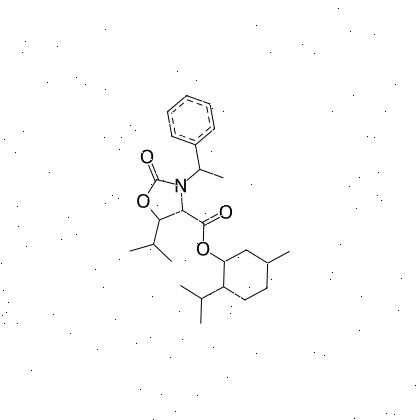 CC1CCC(C(C)C)C(OC(=O)C2C(C(C)C)OC(=O)N2C(C)c2ccccc2)C1